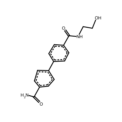 NC(=O)c1ccc(-c2ccc(C(=O)NCCO)cc2)cc1